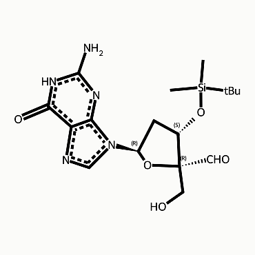 CC(C)(C)[Si](C)(C)O[C@H]1C[C@H](n2cnc3c(=O)[nH]c(N)nc32)O[C@]1(C=O)CO